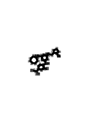 CCN(CC)c1ccc(Nc2nc(NCC3CCCN3CC)nc(NC3CCCCCC3)n2)c(Cl)c1